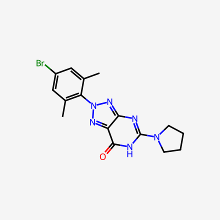 Cc1cc(Br)cc(C)c1-n1nc2nc(N3CCCC3)[nH]c(=O)c2n1